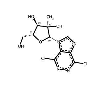 C[C@@]1(O)[C@H](O)[C@@H](CO)O[C@H]1n1cnc2c(Cl)nnc(Cl)c21